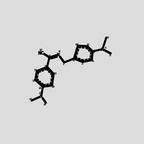 CN(C)c1ccc(CN=C(C#N)c2ccc(N(C)C)cc2)cc1